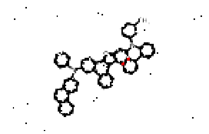 CC1C=CC=C(N(c2ccc3c(c2)oc2c4ccc(N(c5ccccc5)c5ccc6c(ccc7ccccc76)c5)cc4c4ccccc4c32)c2ccccc2-c2ccccc2)C1